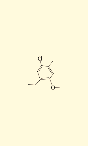 CCc1cc(Cl)c(C)cc1OC